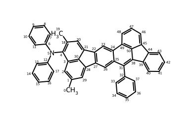 Cc1cc2c(N(c3ccccc3)c3ccccc3)c(C)cc3c4cc5c(cc4c(c1)c23)c(-c1ccccc1)c1c2ccccc2c2cccc5c21